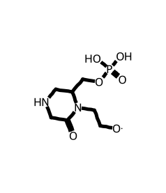 [O]CCN1C(=O)CNCC1COP(=O)(O)O